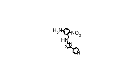 Nc1ccc([N+](=O)[O-])c(CNc2nc(-c3ccncc3)cs2)c1